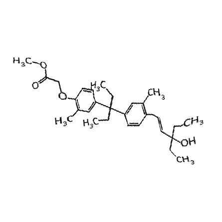 CCC(O)(/C=C/c1ccc(C(CC)(CC)c2ccc(OCC(=O)OC)c(C)c2)cc1C)CC